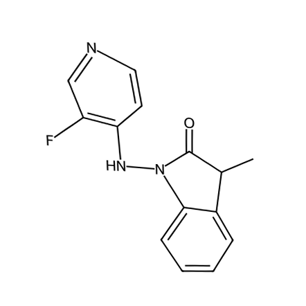 CC1C(=O)N(Nc2ccncc2F)c2ccccc21